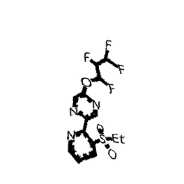 CCS(=O)(=O)c1cccnc1-c1cnc(OC(F)C(F)C(F)F)cn1